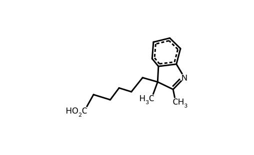 CC1=Nc2ccccc2C1(C)CCCCCC(=O)O